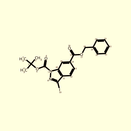 CC(C)(C)OC(=O)n1nc(I)c2ccc(C(=O)OCc3ccccc3)cc21